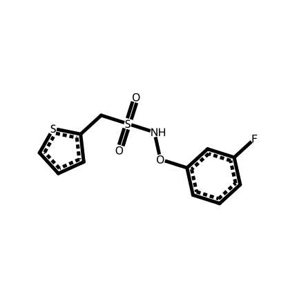 O=S(=O)(Cc1cccs1)NOc1cccc(F)c1